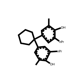 CCCc1cc(C2(c3cc(C)c(O)c(CCC)c3)CCCCC2)cc(C)c1O